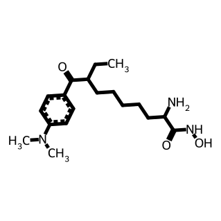 CCC(CCCCCC(N)C(=O)NO)C(=O)c1ccc(N(C)C)cc1